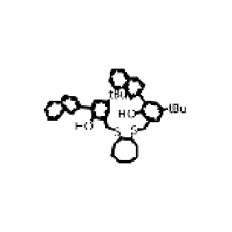 CC(C)(C)c1cc(CS[C@H]2CCCCCC[C@@H]2SCc2cc(C(C)(C)C)cc(-c3ccc4ccccc4c3)c2O)c(O)c(-c2ccc3ccccc3c2)c1